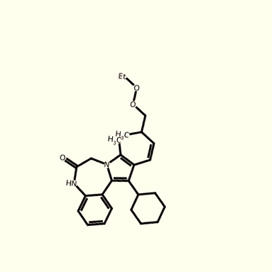 CCOOCC(C)/C=C\c1c(C2CCCCC2)c2n(c1C)CC(=O)Nc1ccccc1-2